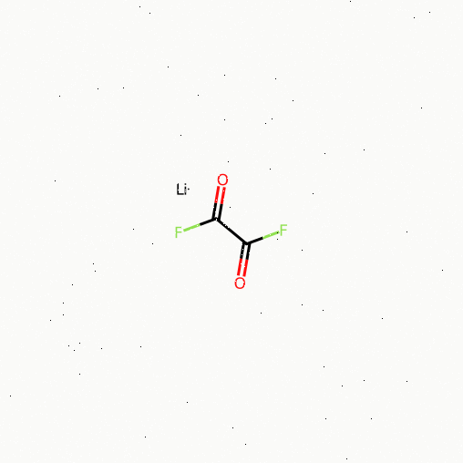 O=C(F)C(=O)F.[Li]